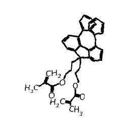 C=C(C)C(=O)OCCCC1(CCCOC(=O)C(=C)C)c2cccc(-c3ccccc3)c2-c2c(-c3ccccc3)cccc21